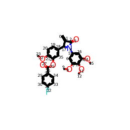 C=C1C(=O)N(c2cc(OC)c(OC)c(OC)c2)C1c1ccc(OC)c(OC(=O)c2ccc(F)cc2)c1